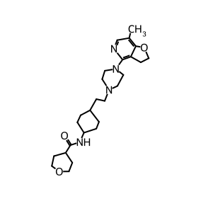 Cc1cnc(N2CCN(CCC3CCC(NC(=O)C4CCOCC4)CC3)CC2)c2c1OCC2